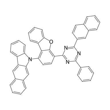 c1ccc(-c2nc(-c3ccc4ccccc4c3)nc(-c3ccc(-n4c5ccccc5c5cc6ccccc6cc54)c4c3oc3ccccc34)n2)cc1